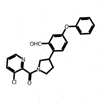 O=Cc1cc(Oc2ccccc2)ccc1C1CCN(C(=O)c2ncccc2Cl)C1